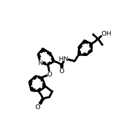 CC(C)(O)c1ccc(CNC(=O)c2cccnc2Oc2cccc3c2CCC3=O)cc1